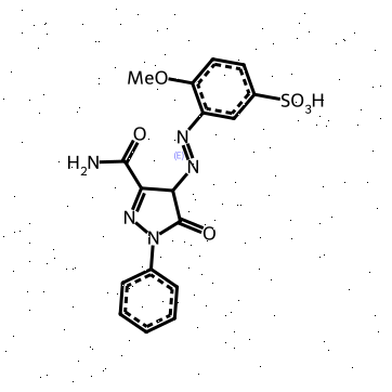 COc1ccc(S(=O)(=O)O)cc1/N=N/C1C(=O)N(c2ccccc2)N=C1C(N)=O